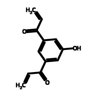 C=CC(=O)c1cc(O)cc(C(=O)C=C)c1